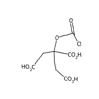 O=C(O)CC(CC(=O)O)(OC(=O)Cl)C(=O)O